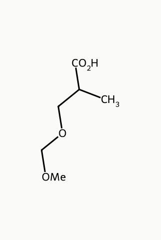 COCOCC(C)C(=O)O